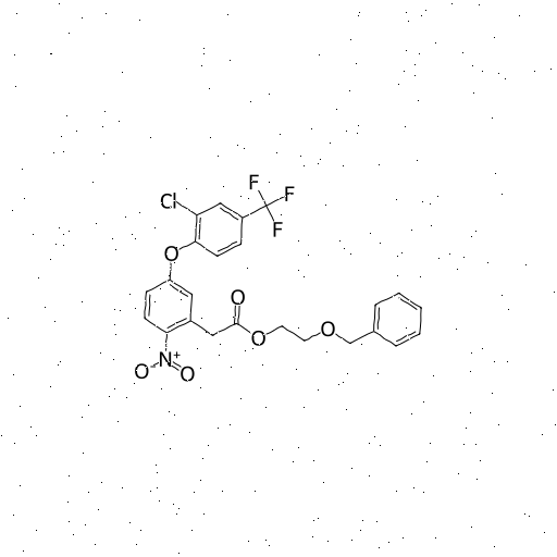 O=C(Cc1cc(Oc2ccc(C(F)(F)F)cc2Cl)ccc1[N+](=O)[O-])OCCOCc1ccccc1